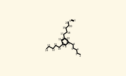 C=C.CCCCCc1cc(CCCCC)cc(CCCCC)c1